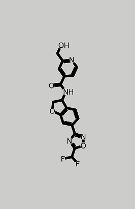 O=C(NC1COc2cc(-c3noc(C(F)F)n3)ccc21)c1ccnc(CO)c1